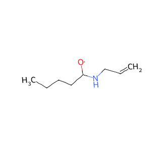 C=CCNC([O])CCCC